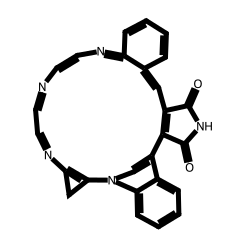 O=C1NC(=O)c2c1cc1ccccc1nccnccnc1c(n3cc2c2ccccc23)C1